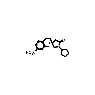 O=C(O)c1ccc2c(c1)C[C@]1(CC2)CC(=O)N(C2CCCC2)C1